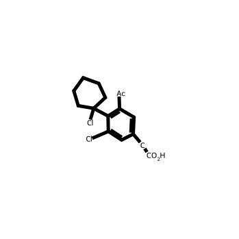 CC(=O)c1cc(CC(=O)O)cc(Cl)c1C1(Cl)CCCCC1